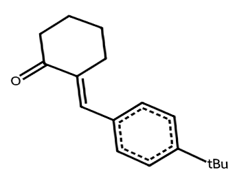 CC(C)(C)c1ccc(/C=C2\CCCCC2=O)cc1